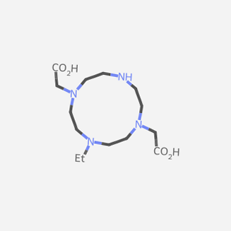 CCN1CCN(CC(=O)O)CCNCCN(CC(=O)O)CC1